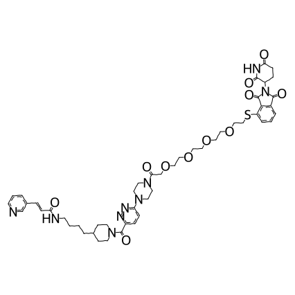 O=C(/C=C/c1cccnc1)NCCCCC1CCN(C(=O)c2ccc(N3CCN(C(=O)COCCOCCOCCOCCSc4cccc5c4C(=O)N(C4CCC(=O)NC4=O)C5=O)CC3)nn2)CC1